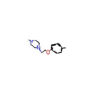 Cc1ccc(OCCN2CCN(C)CC2)cc1